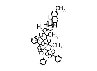 CCC1OC(OC2C(C)C(O[C@H]3CC[C@H]4[C@@H]5CCc6cc(C)ccc6[C@H]5CC[C@]34C)OC(CC)C2OC(=O)c2ccccc2)C(C)C(OC(=O)c2ccccc2)C1OC(=O)c1ccccc1